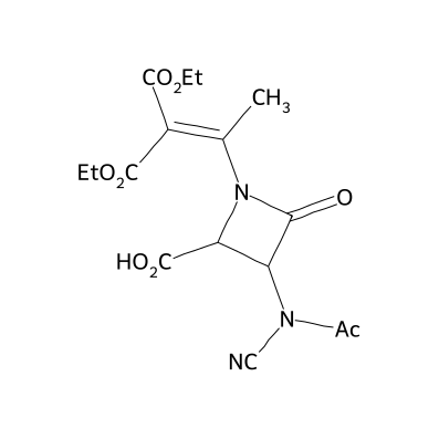 CCOC(=O)C(C(=O)OCC)=C(C)N1C(=O)C(N(C#N)C(C)=O)C1C(=O)O